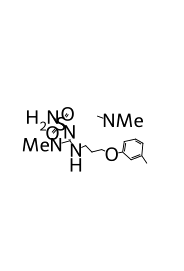 CNC.CNC(=NS(N)(=O)=O)NCCCOc1cccc(C)c1